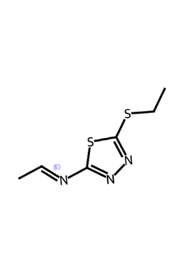 C/C=N/c1nnc(SCC)s1